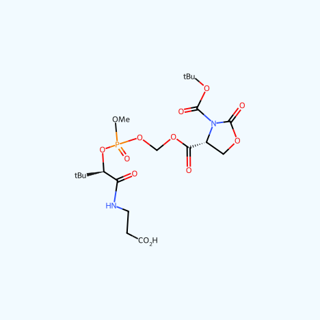 COP(=O)(OCOC(=O)[C@H]1COC(=O)N1C(=O)OC(C)(C)C)O[C@@H](C(=O)NCCC(=O)O)C(C)(C)C